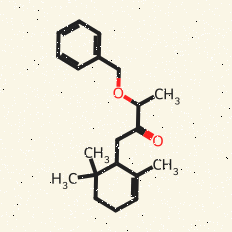 CC1=CCCC(C)(C)C1CC(=O)C(C)OCc1ccccc1